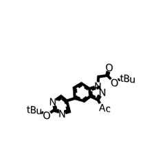 CC(=O)c1nn(CC(=O)OC(C)(C)C)c2ccc(-c3cnc(OC(C)(C)C)nc3)cc12